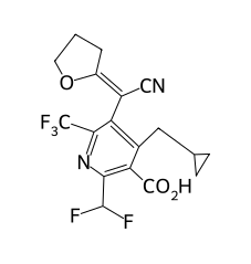 N#C/C(=C1\CCCO1)c1c(C(F)(F)F)nc(C(F)F)c(C(=O)O)c1CC1CC1